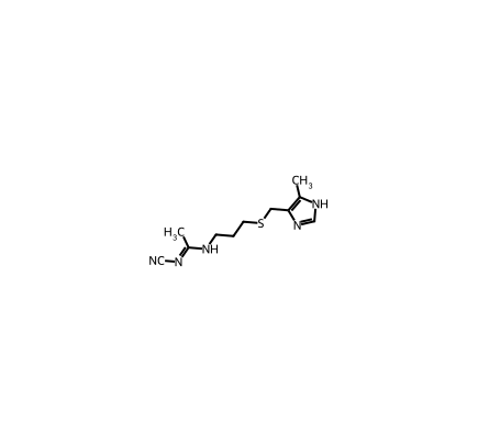 C/C(=N\C#N)NCCCSCc1nc[nH]c1C